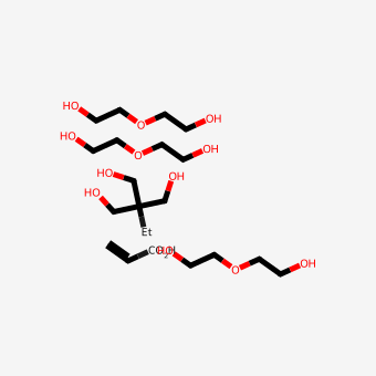 C=CC(=O)O.CCC(CO)(CO)CO.OCCOCCO.OCCOCCO.OCCOCCO